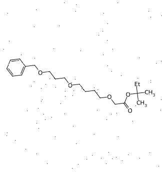 CCC(C)(C)OC(=O)COCCCCOCCCOCc1ccccc1